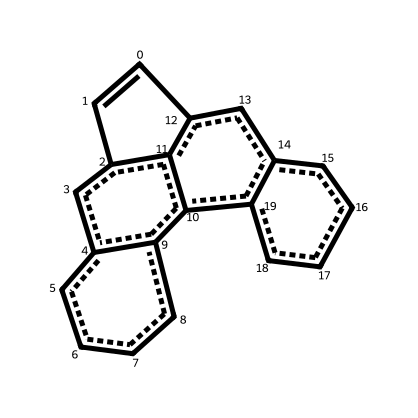 C1=Cc2cc3ccccc3c3c2c1cc1ccccc13